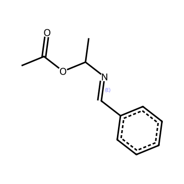 CC(=O)OC(C)/N=C/c1ccccc1